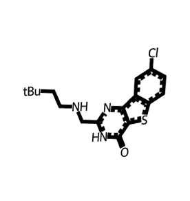 CC(C)(C)CCNCc1nc2c(sc3ccc(Cl)cc32)c(=O)[nH]1